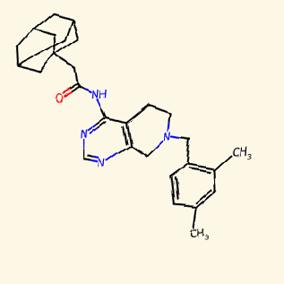 Cc1ccc(CN2CCc3c(ncnc3NC(=O)CC34CC5CC(CC(C5)C3)C4)C2)c(C)c1